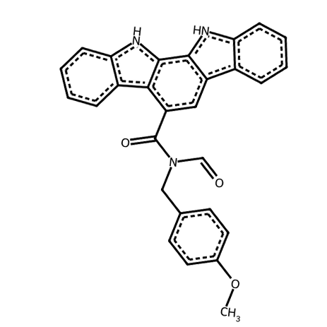 COc1ccc(CN(C=O)C(=O)c2cc3c4ccccc4[nH]c3c3[nH]c4ccccc4c23)cc1